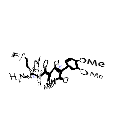 CNC(=O)/C(=C(/Cl)C(=N)C(=O)N/C(=N/N)N(N)CCC(F)(F)F)c1ccc(OC)c(OC)c1